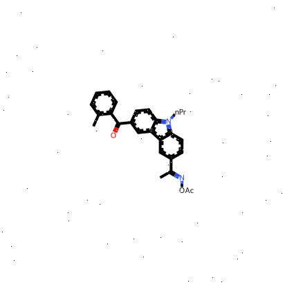 CCCn1c2ccc(C(=O)c3ccccc3C)cc2c2cc(/C(C)=N/OC(C)=O)ccc21